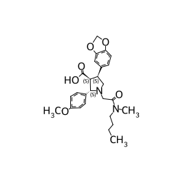 CCCCN(C)C(=O)CN1C[C@H](c2ccc3c(c2)OCO3)[C@H](C(=O)O)[C@H]1c1ccc(OC)cc1